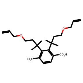 C=CCOCCC(C)(C)c1c(C(=O)O)ccc(C(=O)O)c1C(C)(C)CCOCC=C